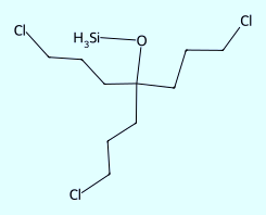 [SiH3]OC(CCCCl)(CCCCl)CCCCl